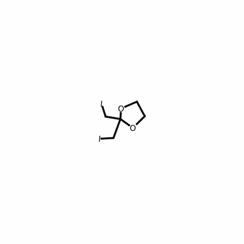 ICC1(CI)OCCO1